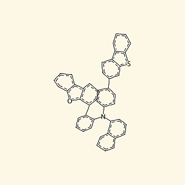 c1ccc(N(c2ccc(-c3ccc4c(c3)sc3ccccc34)cc2)c2cccc3ccccc23)c(-c2cccc3c2oc2ccccc23)c1